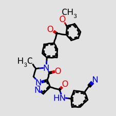 COc1ccccc1C(=O)c1ccc(N2C(=O)c3c(C(=O)Nc4cccc(C#N)c4)cnn3CC2C)cc1